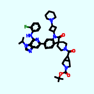 CC(C)n1cnc2cc(-c3ccc4c(c3)N(C3CC(N5CCCCC5)C3)C(=O)C43CCN(C(=O)C4C5CN(C(=O)OC(C)(C)C)CC54)CC3)nc(Nc3ccccc3F)c21